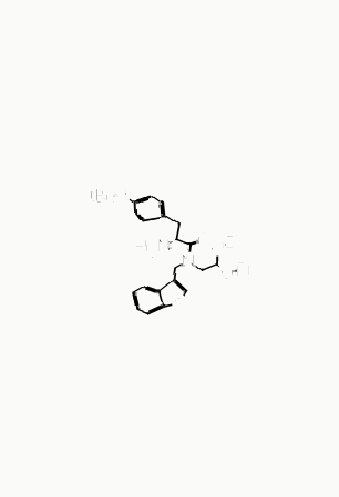 CCOC(CN(Cc1csc2ccccc12)C(=O)[C@@H](N)Cc1ccc(OC(C)(C)C)cc1)OCC